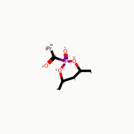 CC1CC(C)OP(=O)(C(=O)C(C)C)O1